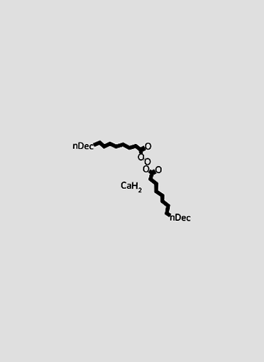 CCCCCCCCCCCCCCCCCC(=O)OOOC(=O)CCCCCCCCCCCCCCCCC.[CaH2]